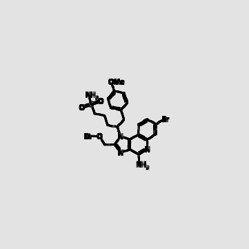 CCOCc1nc2c(N)nc3cc(Br)ccc3c2n1C(CCCS(N)(=O)=O)Cc1ccc(OC)cc1